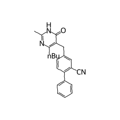 CCCCc1nc(C)[nH]c(=O)c1Cc1ccc(-c2ccccc2)c(C#N)c1